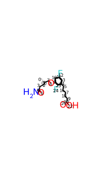 C[C@@H](CCC(N)=O)COc1cc(F)cc(CCCCCC(=O)O)c1F